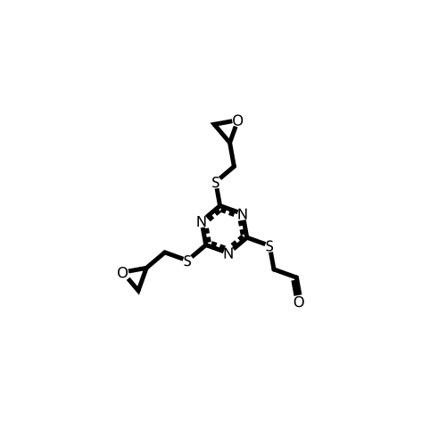 O=CCSc1nc(SCC2CO2)nc(SCC2CO2)n1